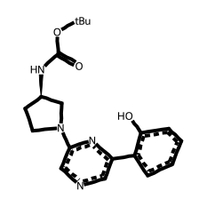 CC(C)(C)OC(=O)N[C@@H]1CCN(c2cncc(-c3ccccc3O)n2)C1